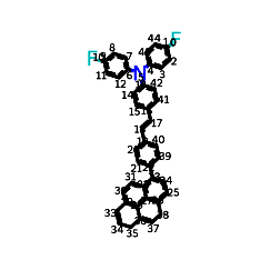 Fc1ccc(N(c2ccc(F)cc2)c2ccc(/C=C/c3ccc(-c4ccc5c6c7c(ccc46)C=CCC7=CC5)cc3)cc2)cc1